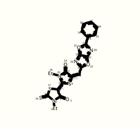 CCN1C(=O)/C(=c2\s/c(=C/c3nc4oc(-c5ccccc5)nc4o3)c(=O)n2CC)SC1=S